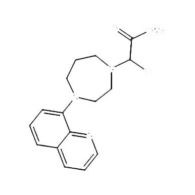 CCC(C(=O)OC)N1CCCN(c2cccc3cccnc23)CC1